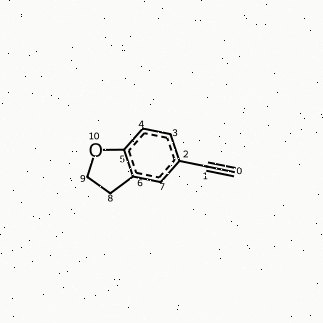 C#Cc1ccc2c(c1)CCO2